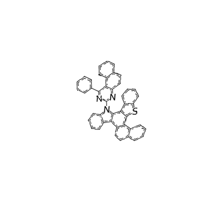 c1ccc(-c2nc(-n3c4ccccc4c4c5ccc6ccccc6c5c5sc6ccccc6c5c43)nc3ccc4ccccc4c23)cc1